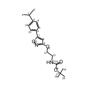 CC(C)c1ccc(-c2cc(OCCNC(=O)OC(C)(C)C)no2)cc1